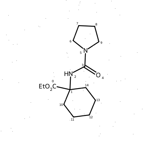 CCOC(=O)C1(NC(=O)N2CCCC2)CCCCC1